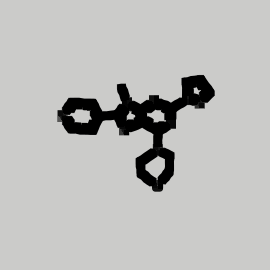 Cn1c(-c2ccncc2)nc2c(N3CCOCC3)nc(-n3cccn3)nc21